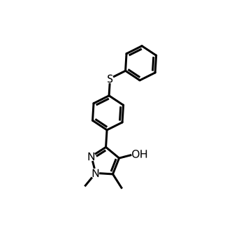 Cc1c(O)c(-c2ccc(Sc3ccccc3)cc2)nn1C